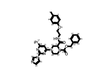 Cc1ccc(OCCNC(=O)C2CN(c3cc(C(C)C)nc(-n4ccnc4)n3)CCN2C(=O)OCc2ccccc2)cc1